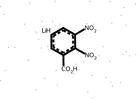 O=C(O)c1cccc([N+](=O)[O-])c1[N+](=O)[O-].[LiH]